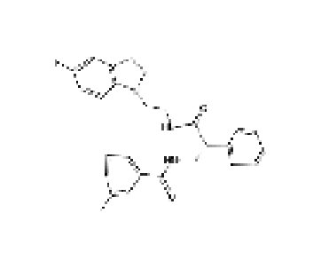 Cc1cccc(C(=O)NC[C@H](C(=O)NCCN2CCc3cc(F)ccc32)c2ccccc2)c1